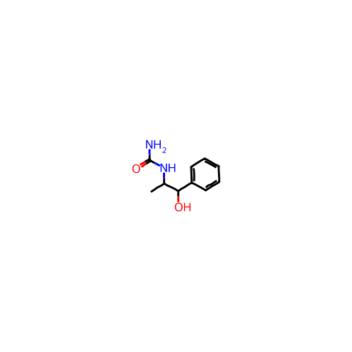 CC(NC(N)=O)C(O)c1ccccc1